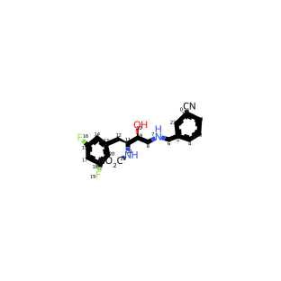 N#Cc1cccc(CNC[C@H](O)[C@H](Cc2cc(F)cc(F)c2)NC(=O)O)c1